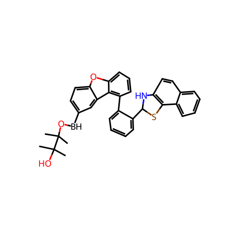 CC(C)(O)C(C)(C)OBc1ccc2oc3cccc(-c4ccccc4C4Nc5ccc6ccccc6c5S4)c3c2c1